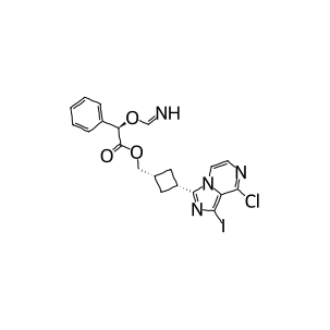 N=CO[C@@H](C(=O)OC[C@H]1C[C@@H](c2nc(I)c3c(Cl)nccn32)C1)c1ccccc1